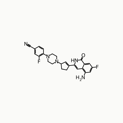 N#Cc1ccc(N2CCN(C3C=C(c4cc5c(N)cc(F)cc5c(=O)[nH]4)CC3)CC2)c(F)c1